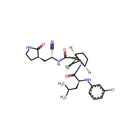 CC(C)C[C@H](Nc1cccc(Cl)c1)C(=O)N1[C@@H]2CC[C@H]([C@H]1C(=O)N[C@@H](C#N)C[C@H]1CCNC1=O)C(F)(F)C2